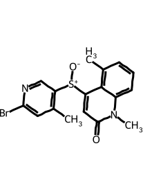 Cc1cc(Br)ncc1[S+]([O-])c1cc(=O)n(C)c2cccc(C)c12